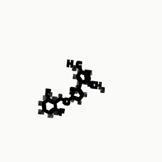 Cc1cc(-c2ccc(OCc3c(F)cccc3F)s2)n(C)n1